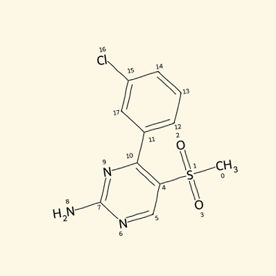 CS(=O)(=O)c1cnc(N)nc1-c1cccc(Cl)c1